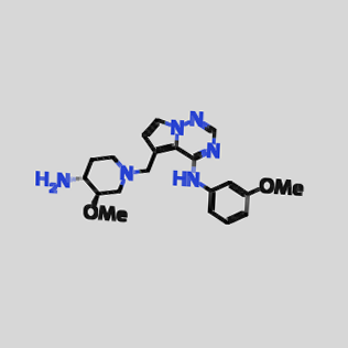 COc1cccc(Nc2ncnn3ccc(CN4CC[C@@H](N)[C@H](OC)C4)c23)c1